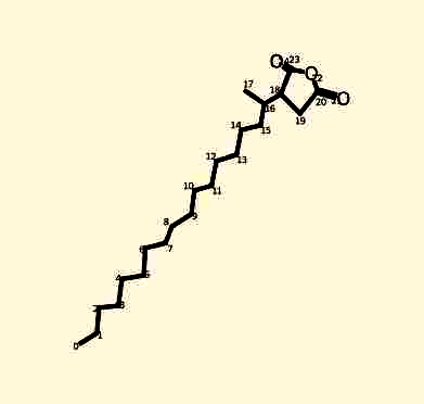 CCCCCCCCCCCCCCCCC(C)C1CC(=O)OC1=O